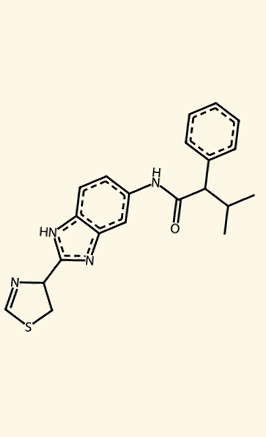 CC(C)C(C(=O)Nc1ccc2[nH]c(C3CSC=N3)nc2c1)c1ccccc1